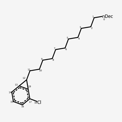 CCCCCCCCCCCCCCCCCCCCCC1c2cccc(Cl)c21